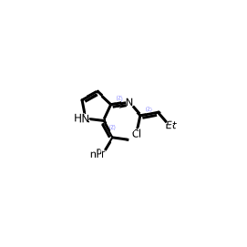 CC/C=C(Cl)/N=C1/C=CN/C1=C(/C)CCC